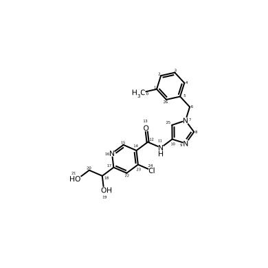 Cc1cccc(Cn2cnc(NC(=O)c3cnc(C(O)CO)cc3Cl)c2)c1